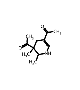 CC(=O)C1=CNC(C)C(C)(C(C)=O)C1